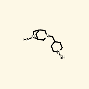 SN1CCC(CN2CC3CC(C2)N(S)C3)CC1